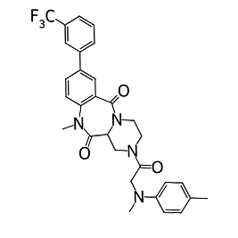 Cc1ccc(N(C)CC(=O)N2CCN3C(=O)c4cc(-c5cccc(C(F)(F)F)c5)ccc4N(C)C(=O)C3C2)cc1